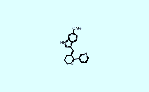 COc1ccc2c(/C=C3\CCCN=C3c3cccnc3)c[nH]c2c1